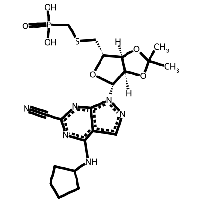 CC1(C)O[C@@H]2[C@H](O1)[C@@H](CSCP(=O)(O)O)O[C@H]2n1ncc2c(NC3CCCC3)nc(C#N)nc21